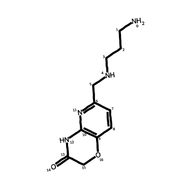 NCCCNCc1ccc2c(n1)NC(=O)CO2